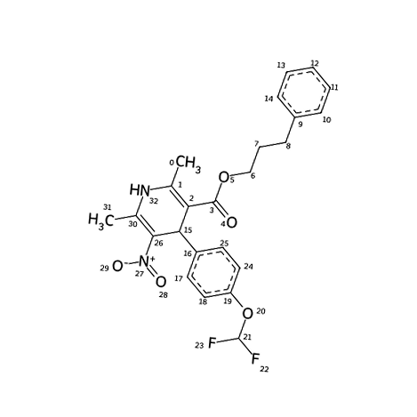 CC1=C(C(=O)OCCCc2ccccc2)C(c2ccc(OC(F)F)cc2)C([N+](=O)[O-])=C(C)N1